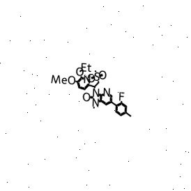 CCOc1nc(C(CS(C)(=O)=O)n2c(=O)n(C)c3cc(-c4ccc(C)cc4F)cnc32)ccc1OC